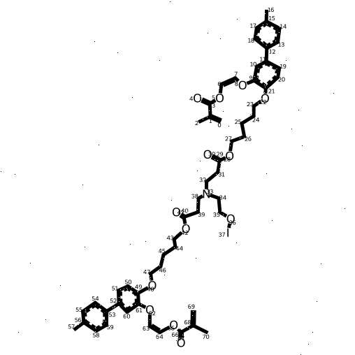 C=C(C)C(=O)O/C=C\Oc1cc(-c2ccc(C)cc2)ccc1OCCCCCOC(=O)CCN(CCOI)CCC(=O)OCCCCCOc1ccc(-c2ccc(C)cc2)cc1O/C=C\OC(=O)C(=C)C